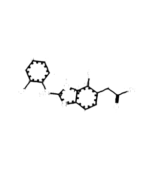 CC(C)C(=O)Cc1ccc2nc(Nc3ccccc3Cl)oc2c1F